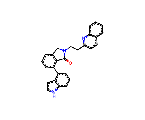 O=C1c2c(cccc2-c2cccc3[nH]ccc23)CN1CCc1ccc2ccccc2n1